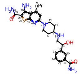 CCCc1cc(N2CCC(NCC(O)c3cccc(C(N)=O)c3)CC2)nc2sc(C(N)=O)c(N)c12